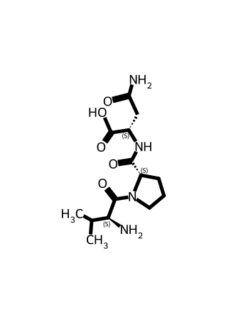 CC(C)[C@H](N)C(=O)N1CCC[C@H]1C(=O)N[C@@H](CC(N)=O)C(=O)O